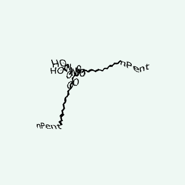 CCCCCC=CCC=CCCCCCCCCOC(=O)CC(CC(=O)OCCCCCCCCC=CCC=CCCCCC)NC(=O)CN1C[C@@H](O)[C@@H](O)C1